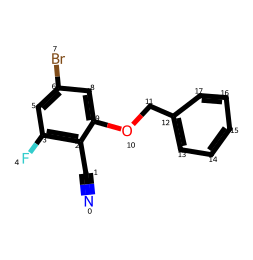 N#Cc1c(F)cc(Br)cc1OCc1ccccc1